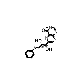 O=c1[nH]cnc2ncc([C@@H](O)[C@@H](O)CSc3ccccc3)nc12